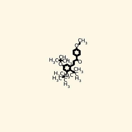 CCOc1ccc(C(=O)C=Cc2cc(OC(C)(C)C)cc(OC(C)(C)C)c2C(C)(C)C)cc1